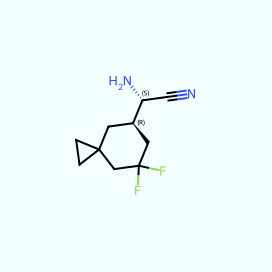 N#C[C@@H](N)[C@H]1CC(F)(F)CC2(CC2)C1